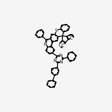 c1ccc(-c2ccc(-c3nc(-c4ccccc4)nc(-c4ccc5nc(-c6ccccc6)c6cc7c(cc6c5c4)C4(c5ccccc5S7)c5ccccc5-c5ccccc54)n3)cc2)cc1